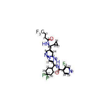 O=C(CCC(F)(F)F)N[C@@H](c1cnn2cc([C@@H](NC(=O)c3ccncc3F)C3CCC(F)(F)CC3)nc2c1)C1CC1